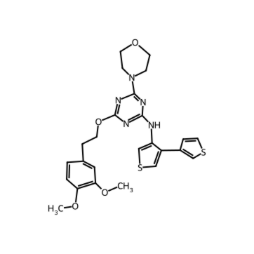 COc1ccc(CCOc2nc(Nc3cscc3-c3ccsc3)nc(N3CCOCC3)n2)cc1OC